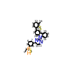 CC[PH](=S)c1cccc(-c2ccnc(-n3c4ccccc4c4c5sc6c(c5ccc43)C=CCC6C)n2)c1